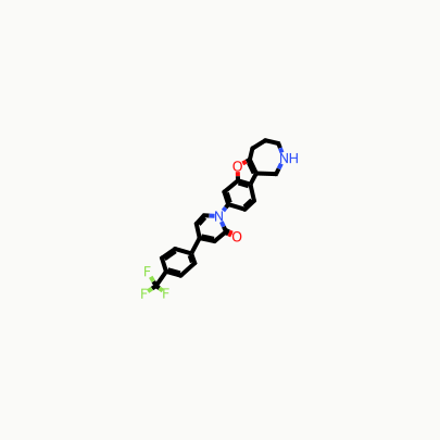 O=c1cc(-c2ccc(C(F)(F)F)cc2)ccn1-c1ccc2c3c(oc2c1)CCCNC3